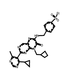 CCS(=O)(=O)c1ccc(CNc2nc3cnc(-c4c(C)ncnc4C4CC4)nc3n(CC3CCC3)c2=O)cc1